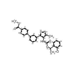 COC(=O)c1ccc(-c2cccc(-c3onc(C)c3NC(=O)OC(C)c3ccccc3Cl)c2)cn1